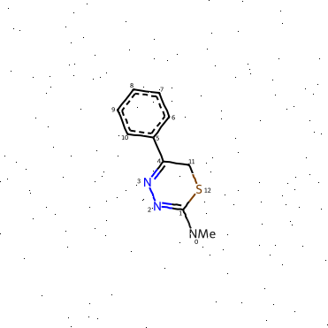 CNC1=NN=C(c2ccccc2)CS1